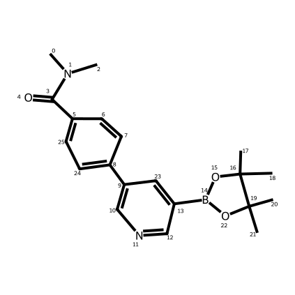 CN(C)C(=O)c1ccc(-c2cncc(B3OC(C)(C)C(C)(C)O3)c2)cc1